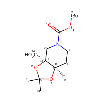 CC(C)(C)OC(=O)N1CC[C@H]2OC(C)(C)O[C@@]2(C(=O)O)C1